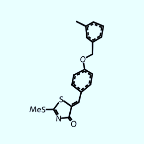 CSC1=NC(=O)C(=Cc2ccc(OCc3cccc(C)c3)cc2)S1